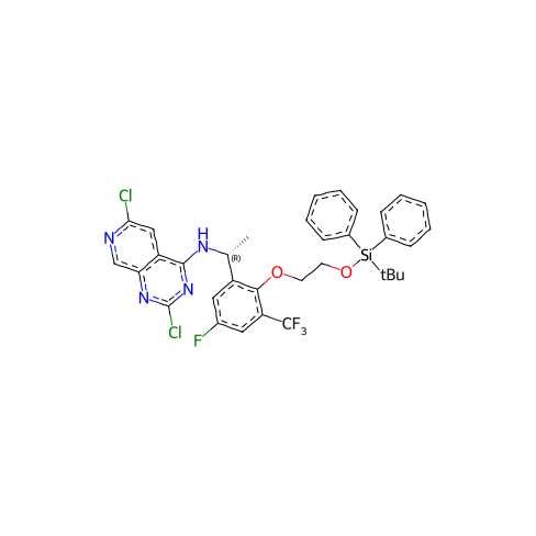 C[C@@H](Nc1nc(Cl)nc2cnc(Cl)cc12)c1cc(F)cc(C(F)(F)F)c1OCCO[Si](c1ccccc1)(c1ccccc1)C(C)(C)C